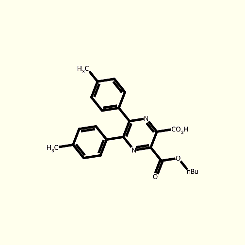 CCCCOC(=O)c1nc(-c2ccc(C)cc2)c(-c2ccc(C)cc2)nc1C(=O)O